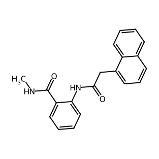 CNC(=O)c1ccccc1NC(=O)Cc1cccc2ccccc12